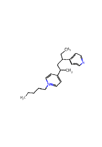 CCCCC[n+]1ccc(C(C)CC(CC)c2ccncc2)cc1